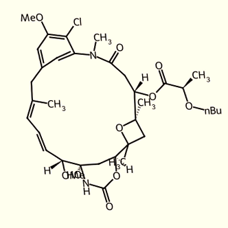 CCCCO[C@H](C)C(=O)O[C@H]1CC(=O)N(C)c2cc(cc(OC)c2Cl)C/C(C)=C/C=C/[C@@H](OC)[C@@]2(O)C[C@H](OC(=O)N2)C2(C)C[C@@]1(C)O2